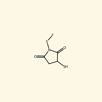 O=C1CC(S)C(=O)N1SF